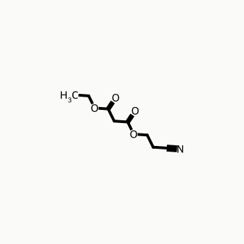 CCOC(=O)CC(=O)OCCC#N